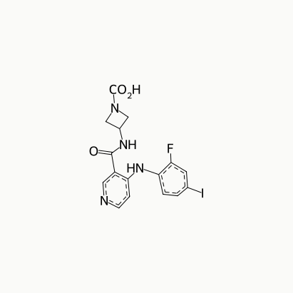 O=C(NC1CN(C(=O)O)C1)c1cnccc1Nc1ccc(I)cc1F